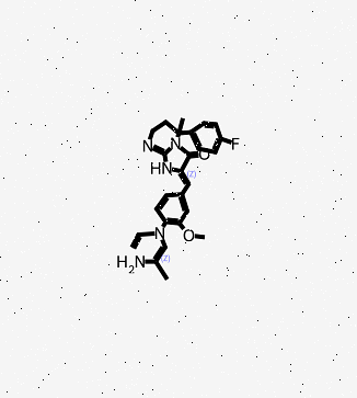 C=CN(/C=C(/C)N)c1ccc(/C=c2\[nH]c3n(c2=O)C(C)(c2ccc(F)cc2)CCN=3)cc1OC